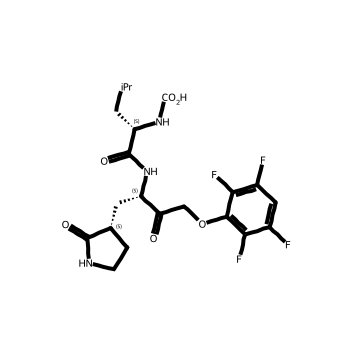 CC(C)C[C@H](NC(=O)O)C(=O)N[C@@H](C[C@@H]1CCNC1=O)C(=O)COc1c(F)c(F)cc(F)c1F